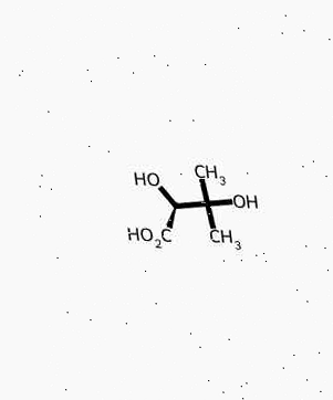 CC(C)(O)[C@H](O)C(=O)O